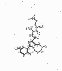 CCN(CCN(C)C)C(=O)C(NC(=O)c1nc(-c2cc(Cl)ccc2F)n2c1CN(C)CCC2)C(C)(C)C